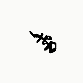 CCCC(C)(C)C(=O)OC1(C)CCCC1